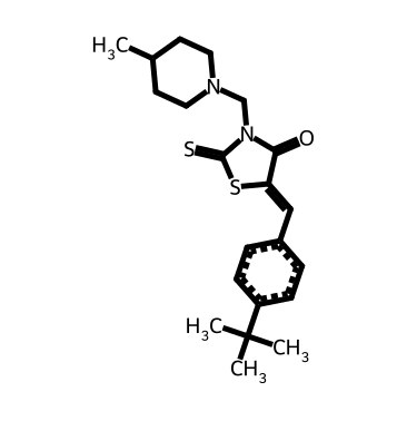 CC1CCN(CN2C(=O)C(=Cc3ccc(C(C)(C)C)cc3)SC2=S)CC1